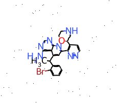 CC(c1ccccc1Br)c1cc(-c2nnccc2C2CNCCO2)nc2ncnc(N)c12